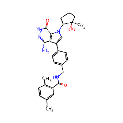 Cc1ccc(C)c(C(=O)NCc2ccc(-c3cn(C4CCCC4(C)O)c4c(=O)[nH]nc(N)c34)cc2)c1